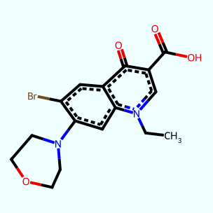 CCn1cc(C(=O)O)c(=O)c2cc(Br)c(N3CCOCC3)cc21